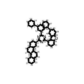 c1ccc(-c2cccc(-c3nc(-c4ccc5ccc6c7ccccc7ccc6c5c4)nc(-c4cccc5oc6ccc(-c7ccccc7)cc6c45)n3)c2)cc1